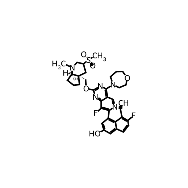 C#Cc1c(F)ccc2cc(O)cc(-c3ncc4c(N5CCCOCC5)nc(OC[C@]56CCC[C@H]5N(C)CC(S(C)(=O)=O)C6)nc4c3F)c12